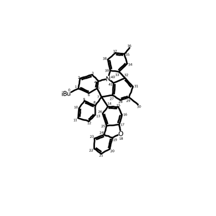 CCC(C)c1ccc2c(c1)C(c1ccccc1)(c1ccc3oc4ccccc4c3c1)c1cc(C)cc3c4cc(C)ccc4n-2c13